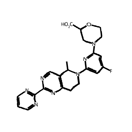 CC1c2cnc(-c3ncccn3)nc2CCN1c1cc(F)cc(N2CCOC(C(=O)O)C2)n1